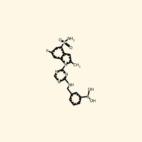 Cc1cc2c(S(N)(=O)=O)cc(F)cc2n1-c1ncnc(NCc2cccc(B(O)O)c2)n1